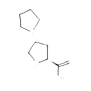 COC(=O)[C@@H]1C[C@@H](N2CCCC2)CN1